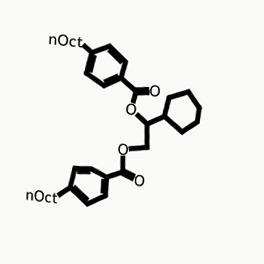 CCCCCCCCc1ccc(C(=O)OCC(OC(=O)c2ccc(CCCCCCCC)cc2)C2CCCCC2)cc1